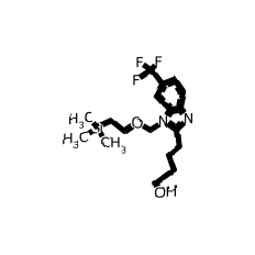 C[Si](C)(C)CCOCn1c(CCCCO)nc2ccc(C(F)(F)F)cc21